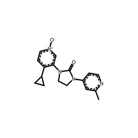 Cc1cc(N2CCN(c3c[n+]([O-])ccc3C3CC3)C2=O)ccn1